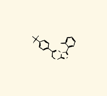 Cc1ccccc1-c1nnc2n1N=C(c1ccc(C(C)(C)C)cc1)CS2